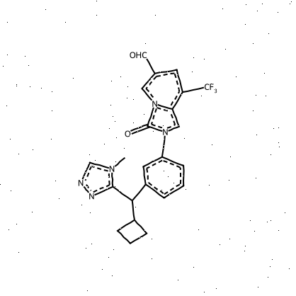 Cn1cnnc1C(c1cccc(-n2cc3c(C(F)(F)F)cc(C=O)cn3c2=O)c1)C1CCC1